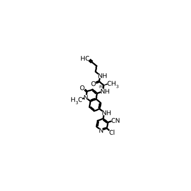 C#CCCNC(=O)[C@@H](C)Nc1cc(=O)n(C)c2ccc(Nc3ccnc(Cl)c3C#N)cc12